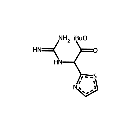 CC(C)COC(=O)C(NC(=N)N)c1nccs1